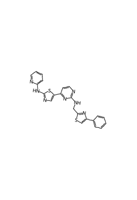 c1ccc(-c2csc(CNc3nccc(-c4cnc(Nc5ccccn5)s4)n3)n2)cc1